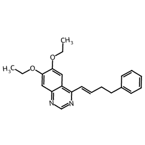 CCOc1cc2ncnc(C=CCCc3ccccc3)c2cc1OCC